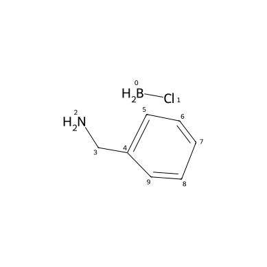 BCl.NCc1ccccc1